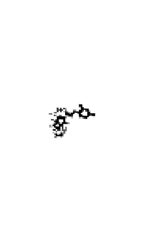 Cc1ccc(CC=C(O)[C@@H]2C[C@H]3[C@@H](CC34OCCO4)C2O)c(C)c1